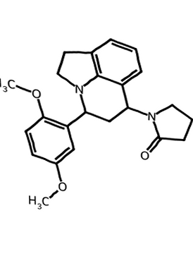 COc1ccc(OC)c(C2CC(N3CCCC3=O)c3cccc4c3N2CC4)c1